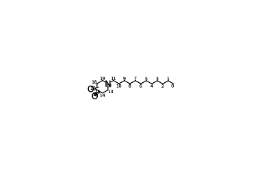 CCCCCCCCCCCCN1CCS(=O)(=O)CC1